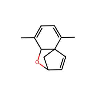 CC1=CC=C(C)C23C=CC(C2)OC13